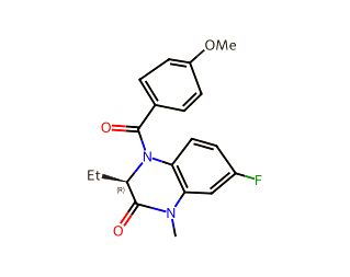 CC[C@@H]1C(=O)N(C)c2cc(F)ccc2N1C(=O)c1ccc(OC)cc1